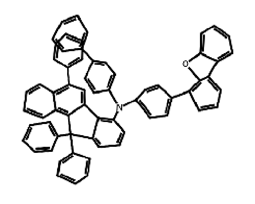 c1ccc(-c2ccc(N(c3ccc(-c4cccc5c4oc4ccccc45)cc3)c3cccc4c3-c3cc(-c5ccccc5)c5ccccc5c3C4(c3ccccc3)c3ccccc3)cc2)cc1